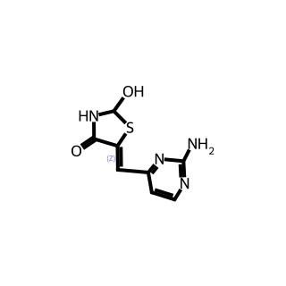 Nc1nccc(/C=C2\SC(O)NC2=O)n1